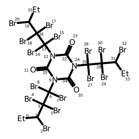 CCC(Br)C(Br)(Br)C(Br)(Br)n1c(=O)n(C(Br)(Br)C(Br)(Br)C(Br)CC)c(=O)n(C(Br)(Br)C(Br)(Br)C(Br)CC)c1=O